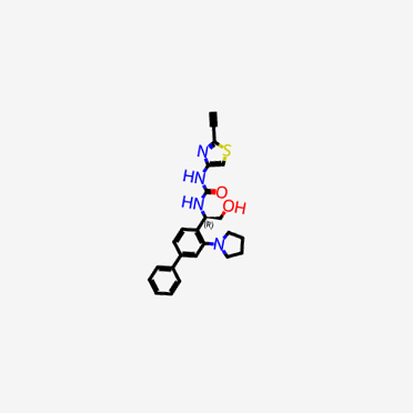 C#Cc1nc(NC(=O)N[C@@H](CO)c2ccc(-c3ccccc3)cc2N2CCCC2)cs1